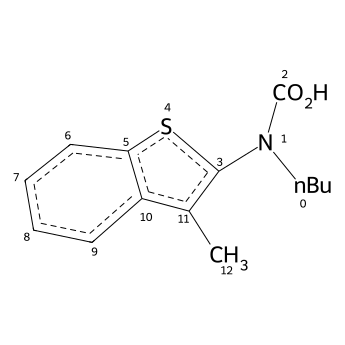 CCCCN(C(=O)O)c1sc2ccccc2c1C